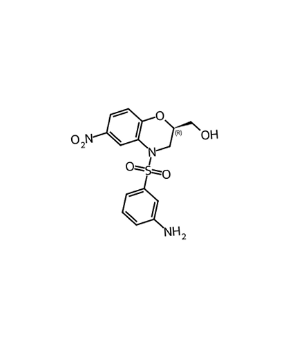 Nc1cccc(S(=O)(=O)N2C[C@H](CO)Oc3ccc([N+](=O)[O-])cc32)c1